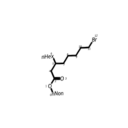 CCCCCCCCCOC(=O)CC(CCCCCC)CCCCCBr